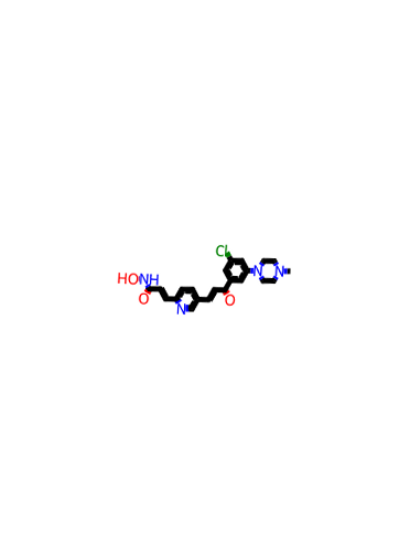 CN1CCN(c2cc(Cl)cc(C(=O)C=Cc3ccc(C=CC(=O)NO)nc3)c2)CC1